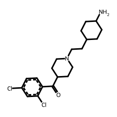 NC1CCC(CCN2CCC(C(=O)c3ccc(Cl)cc3Cl)CC2)CC1